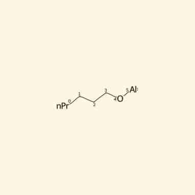 CCCCCC[O][Al]